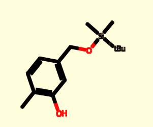 Cc1ccc(CO[Si](C)(C)C(C)(C)C)cc1O